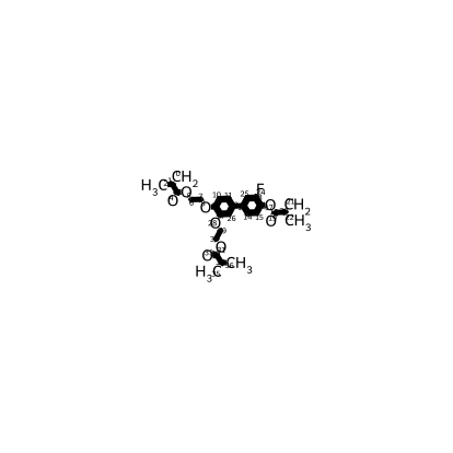 C=C(C)C(=O)OCCOc1ccc(-c2ccc(OC(=O)C(=C)C)c(F)c2)cc1OCCOC(=O)C(C)C